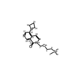 C[Si](C)(C)CCOCn1ccc2c(N3CCC3)cncc2c1=O